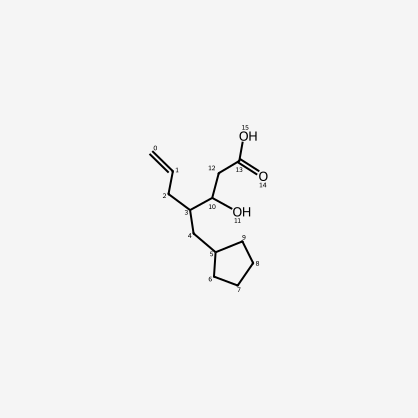 C=CCC(CC1CCCC1)C(O)CC(=O)O